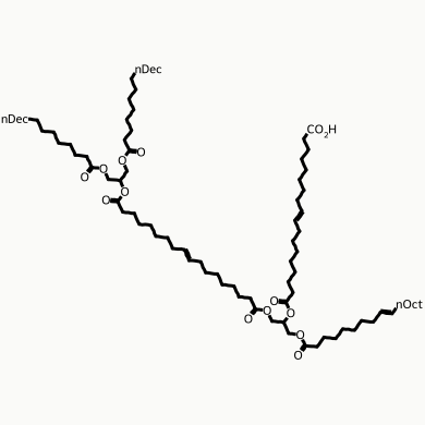 CCCCCCCCC=CCCCCCCCC(=O)OCC(COC(=O)CCCCCCCC=CCCCCCCCC(=O)OC(COC(=O)CCCCCCCCCCCCCCCCC)COC(=O)CCCCCCCCCCCCCCCCC)OC(=O)CCCCCCCC=CCCCCCCCC(=O)O